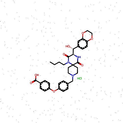 CCCCN1C(=O)[C@@H]([C@H](O)c2ccc3c(c2)OCCO3)NC(=O)C12CCN(Cc1ccc(Oc3ccc(C(=O)O)cc3)cc1)CC2.Cl